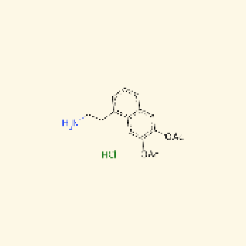 CC(=O)Oc1cc2cccc(CCN)c2cc1OC(C)=O.Cl